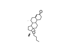 C#C[C@]1(OCCCC)CCC2C3C(CC[C@@]21C)C1CCC(=O)C=C1C[C@H]3C